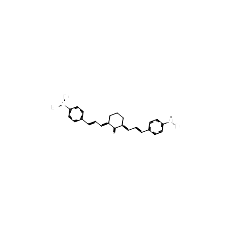 CCN(CC)c1ccc(C=CC=C2CCCC(=CC=Cc3ccc(N(CC)CC)cc3)C2=O)cc1